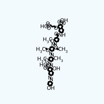 CCOc1cc(N=Nc2ccc(C(=O)Nc3ccc4cc(S(=O)(=O)O)cc(OCCCS(=O)(=O)O)c4c3)cc2OC)c(OCC)cc1N=Nc1cc(OC)c(N=Nc2c(S(=O)(=O)O)cc3cc(/N=N/c4ccc(O)cc4)ccc3c2O)cc1C